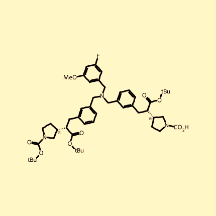 COc1cc(F)cc(CN(Cc2cccc(CC(C(=O)OC(C)(C)C)[C@H]3CCN(C(=O)O)C3)c2)Cc2cccc(CC(C(=O)OC(C)(C)C)[C@H]3CCN(C(=O)OC(C)(C)C)C3)c2)c1